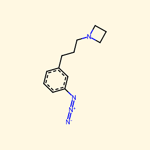 [N-]=[N+]=Nc1cccc(CCCN2CCC2)c1